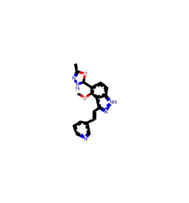 COc1c(C2NN=C(C)O2)ccc2[nH]nc(C=Cc3cccnc3)c12